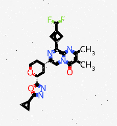 Cc1nc2c(C34CC(C(F)F)(C3)C4)nc([C@H]3CCO[C@@H](c4nnc(C5CC5)o4)C3)cn2c(=O)c1C